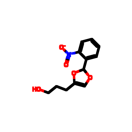 O=[N+]([O-])c1ccccc1C1OC=C(CCCO)O1